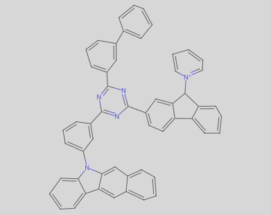 c1ccc(-c2cccc(-c3nc(-c4cccc(-n5c6ccccc6c6cc7ccccc7cc65)c4)nc(-c4ccc5c(c4)C([n+]4ccccc4)c4ccccc4-5)n3)c2)cc1